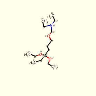 CCO[Si](CC)(CCCOCN(CC)CC)OCC